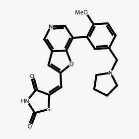 COc1ccc(CN2CCCC2)cc1-c1cncc2cc(C=C3SC(=O)NC3=O)oc12